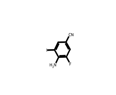 N#Cc1cc(F)c(N)c(I)c1